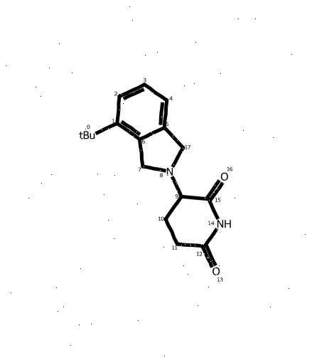 CC(C)(C)c1cccc2c1CN(C1CCC(=O)NC1=O)C2